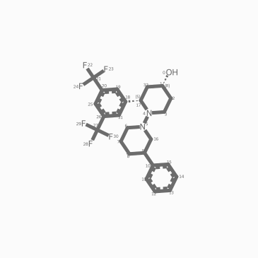 O[C@@H]1CCN(N2CC[CH]C(c3ccccc3)C2)[C@H](c2cc(C(F)(F)F)cc(C(F)(F)F)c2)C1